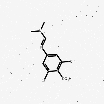 CN(C)/C=N/c1cc(Cl)c(C(=O)O)c(Cl)c1